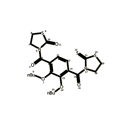 CCCCOc1c(C(=O)N2CCSC2=O)ccc(C(=O)N2CCSC2=S)c1OCCCC